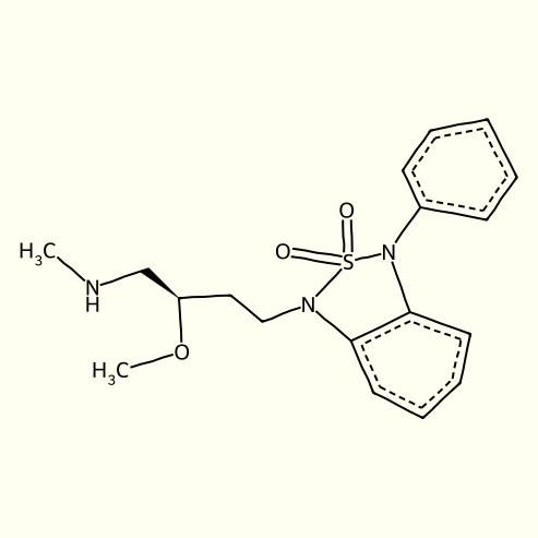 CNC[C@@H](CCN1c2ccccc2N(c2ccccc2)S1(=O)=O)OC